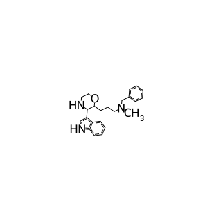 CN(CCCC1OCCNC1c1c[nH]c2ccccc12)Cc1ccccc1